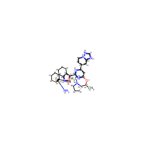 C[C@H](Oc1cc(-c2ccn3ncnc3c2)nc(-c2onc3c2CCC[C@@]32CCCc3sc(N)c(C#N)c32)n1)[C@@H]1CCCN1C